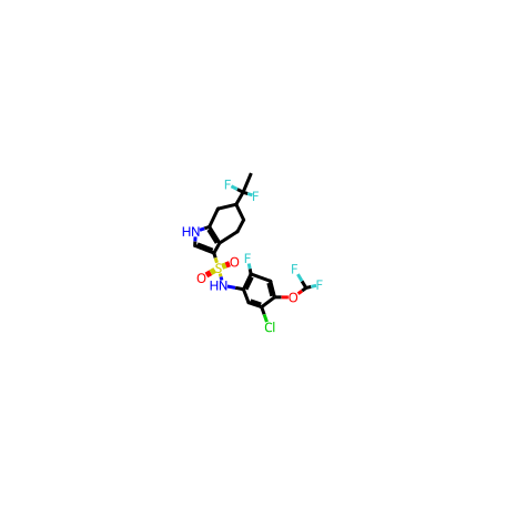 CC(F)(F)C1CCc2c(S(=O)(=O)Nc3cc(Cl)c(OC(F)F)cc3F)c[nH]c2C1